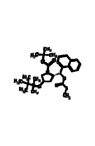 CSC(=S)OC(c1cccc2ccccc12)[C@@H]1C[C@@H](O[Si](C)(C)C(C)(C)C)CN1C(=O)OC(C)(C)C